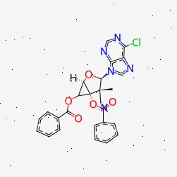 C[C@]1(C#N)[C@H](n2cnc3c(Cl)ncnc32)O[C@@H]2C(OC(=O)c3ccccc3)[C@@]21OC(=O)c1ccccc1